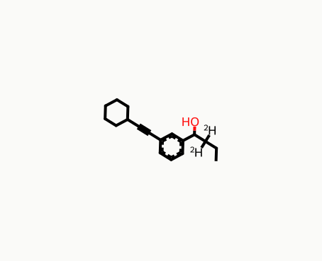 [2H]C([2H])(CC)C(O)c1cccc(C#CC2CCCCC2)c1